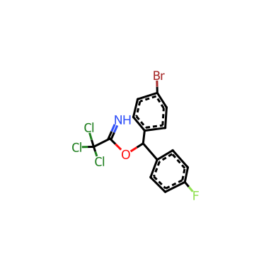 N=C(OC(c1ccc(F)cc1)c1ccc(Br)cc1)C(Cl)(Cl)Cl